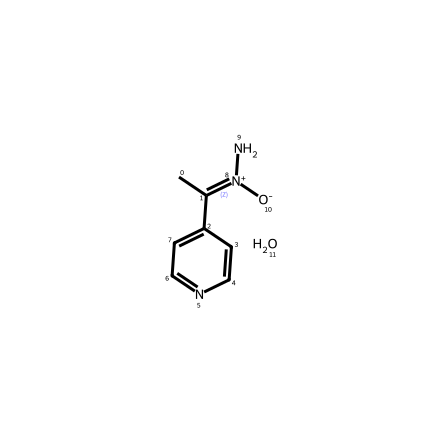 C/C(c1ccncc1)=[N+](\N)[O-].O